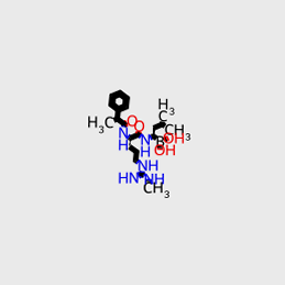 CNC(=N)NCCC[C@H](NC(=O)C(C)c1ccccc1)C(=O)N[C@@H](CC(C)C)B(O)O